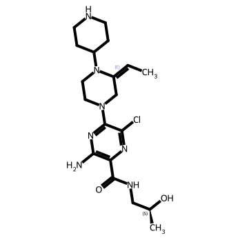 C/C=C1\CN(c2nc(N)c(C(=O)NC[C@H](C)O)nc2Cl)CCN1C1CCNCC1